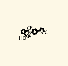 O=C(O)C1=C(C(=O)Nc2ccc(-c3ccc(Cl)s3)cc2F)CCC1